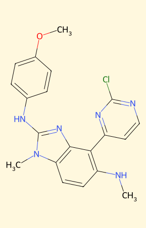 CNc1ccc2c(nc(Nc3ccc(OC)cc3)n2C)c1-c1ccnc(Cl)n1